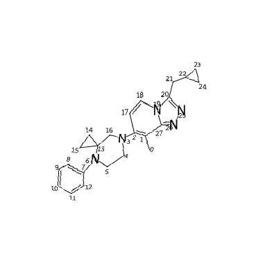 Cc1c(N2CCN(c3ccccc3)C3(CC3)C2)ccn2c(CC3CC3)nnc12